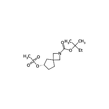 CCC(C)(C)OC(=O)N1CC2(CC[C@H](OS(C)(=O)=O)C2)C1